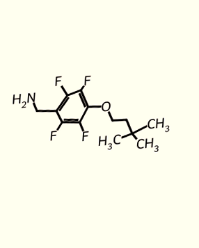 CC(C)(C)CCOc1c(F)c(F)c(CN)c(F)c1F